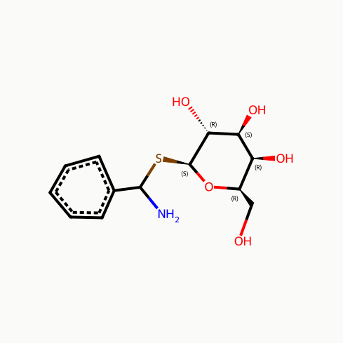 NC(S[C@@H]1O[C@H](CO)[C@H](O)[C@H](O)[C@H]1O)c1ccccc1